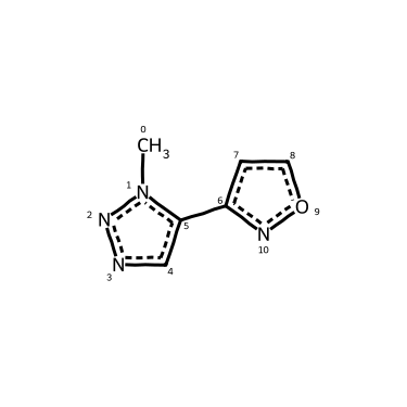 Cn1nncc1-c1ccon1